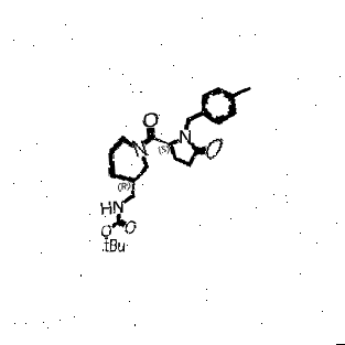 Cc1ccc(CN2C(=O)CC[C@H]2C(=O)N2CCC[C@H](CNC(=O)OC(C)(C)C)C2)cc1